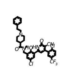 CN(Cc1cc(Cl)cc(-c2cc(-c3cc(C(F)(F)F)ccc3Cl)c(C#N)c(=O)[nH]2)c1O)C(=O)C1CCN(CCc2ccccc2)CC1